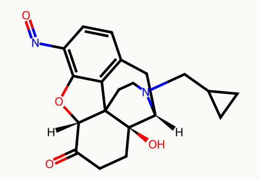 O=Nc1ccc2c3c1O[C@H]1C(=O)CC[C@@]4(O)[C@@H](C2)N(CC2CC2)CCC314